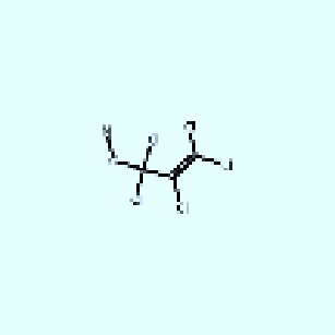 [N]OC(Cl)(Cl)C(Cl)=C(Cl)Cl